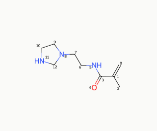 C=C(C)C(=O)NCCN1CCNC1